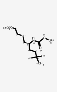 CCOC(=O)CCOC[C@H](CCC(C)(F)F)NC(=O)OC(C)(C)C